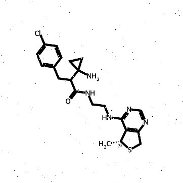 C[C@H]1SCc2ncnc(NCCNC(=O)C(Cc3ccc(Cl)cc3)C3(N)CC3)c21